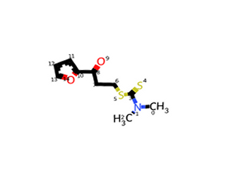 CN(C)C(=S)SCCC(=O)c1ccco1